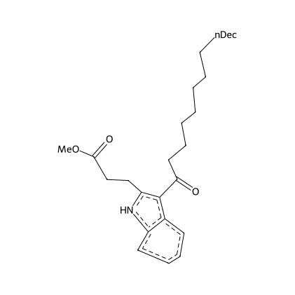 CCCCCCCCCCCCCCCCCC(=O)c1c(CCC(=O)OC)[nH]c2ccccc12